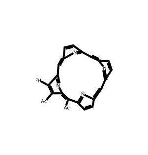 [2H]C1=C(C(C)=O)C2=C(C(C)=O)C3=NC(=CC4=NC(=CC5=NC(=CC1=N2)C=C5)C=C4)C=C3